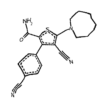 N#Cc1ccc(-c2c(C(N)=O)sc(N3CCCCCC3)c2C#N)cc1